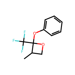 CC1COC1(Oc1ccccc1)C(F)(F)F